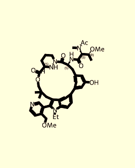 CCn1c(-c2cnccc2COC)c2c3cc(ccc31)-c1cc(O)cc(c1)C[C@H](NC(=O)[C@H]([C@@H](C)OC)N(C)C(C)=O)C(=O)N1CCC[C@H](N1)C(=O)OCC(C)(C)C2